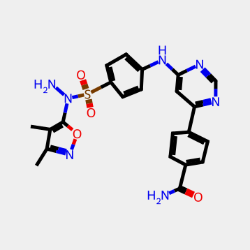 Cc1noc(N(N)S(=O)(=O)c2ccc(Nc3cc(-c4ccc(C(N)=O)cc4)ncn3)cc2)c1C